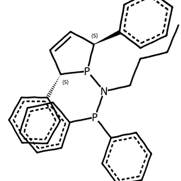 CCCCN(P(c1ccccc1)c1ccccc1)P1[C@H](c2ccccc2)C=C[C@H]1c1ccccc1